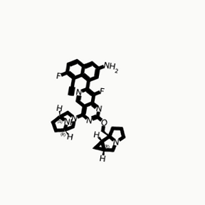 C#Cc1c(F)ccc2cc(N)cc(-c3ncc4c(N5C[C@H]6CC[C@@H](C5)N6)nc(OC[C@@]56CCCN5C[C@@H]5C[C@@H]56)nc4c3F)c12